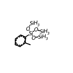 Cc1ccccc1[Si](O[SiH3])(O[SiH3])O[SiH3]